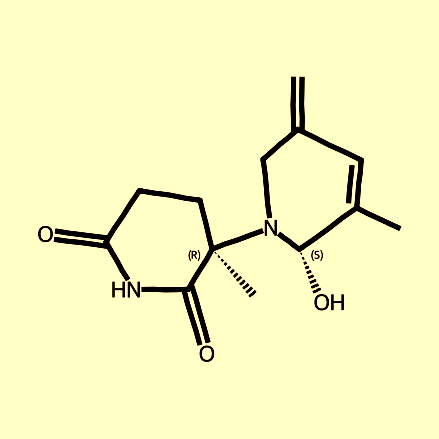 C=C1C=C(C)[C@H](O)N([C@]2(C)CCC(=O)NC2=O)C1